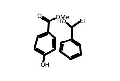 CCC(O)c1ccccc1.COC(=O)c1ccc(O)cc1